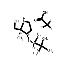 CC(C)(C)[Si](C)(C)O[C@@H]1CCN[C@]1(C)CO.O=C(O)C(F)(F)F